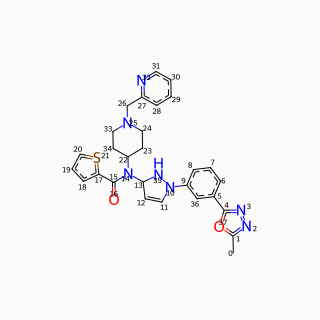 Cc1nnc(-c2cccc(N3C=CC(N(C(=O)c4cccs4)C4CCN(Cc5ccccn5)CC4)N3)c2)o1